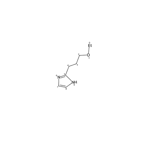 CCOCCCc1ncc[nH]1